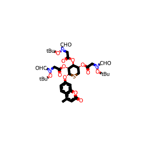 Cc1cc(=O)oc2cc(O[C@H]3SC[C@@H](OC(=O)CN(C=O)OC(C)(C)C)[C@H](OC(=O)CN(C=O)OC(C)(C)C)[C@H]3OC(=O)CN(C=O)OC(C)(C)C)ccc12